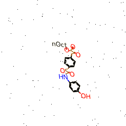 CCCCCCCCOS(=O)(=O)c1ccc(S(=O)(=O)Nc2ccc(O)cc2)cc1